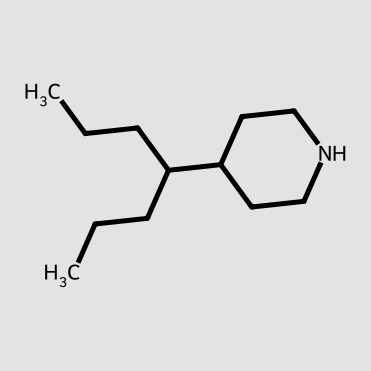 CCCC(CCC)C1CCNCC1